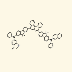 C=Cc1ccc(N(c2ccccc2)c2ccc3c(c2)C(C)(C)c2cc(-c4cc5cc(-c6ccc7c(c6)C(C)(C)c6cc(N(c8ccccc8)c8ccc9ccccc9c8)ccc6-7)c6ccccc6c5c5c4CCC=C5)ccc2-3)cc1/C=C\C